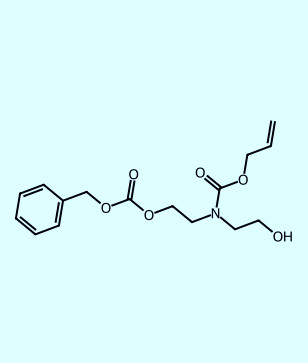 C=CCOC(=O)N(CCO)CCOC(=O)OCc1ccccc1